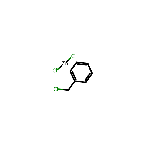 Cl[CH]c1ccccc1.[Cl][Zn][Cl]